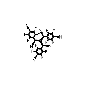 N#CC1=C(F)C(F)C(/C(C#N)=C2/C(=C(C#N)c3c(F)c(F)c(C#N)c(F)c3F)/C2=C(/C#N)c2c(F)c(F)c(C#N)c(F)c2F)C(F)=C1F